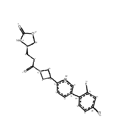 O=C1N[C@H](CCC(=O)N2CC(c3ccc(-c4ccc(Cl)cc4F)cn3)C2)CO1